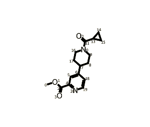 COC(=O)c1cc(C2CCN(C(=O)C3CC3)CC2)ccn1